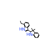 CCc1cccc2c(C3Nc4ccccc4C3(C)C)c[nH]c12